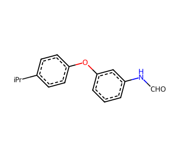 CC(C)c1ccc(Oc2cccc(NC=O)c2)cc1